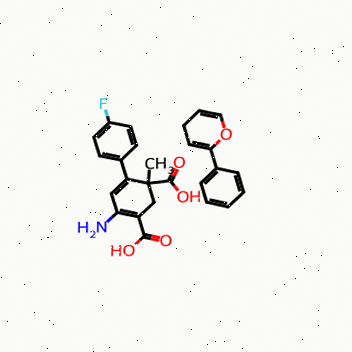 C1=COC(c2ccccc2)=CC1.CC1(C(=O)O)CC(C(=O)O)=C(N)C=C1c1ccc(F)cc1